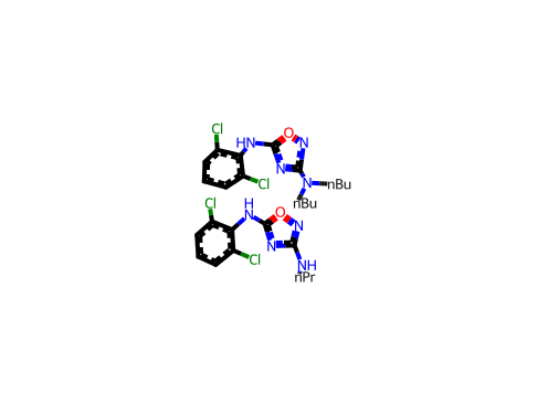 CCCCN(CCCC)c1noc(Nc2c(Cl)cccc2Cl)n1.CCCNc1noc(Nc2c(Cl)cccc2Cl)n1